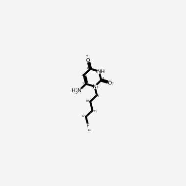 Nc1cc(=O)[nH]c(=O)n1CCCCF